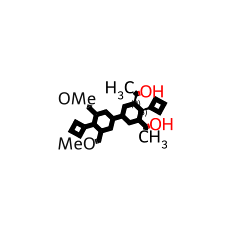 COCC1CC(C2CC(C(C)O)[C@H](C3CCC3)[C@H](C(C)O)C2)CC(COC)C1C1CCC1